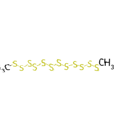 CSSSSSSSSSSSSC